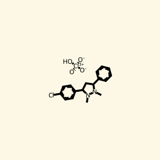 CN1C(c2ccccc2)CC(c2ccc(Cl)cc2)N1C.[O-][Cl+3]([O-])([O-])O